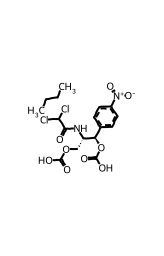 CCCC.O=C(O)OC[C@H](NC(=O)C(Cl)Cl)[C@H](OC(=O)O)c1ccc([N+](=O)[O-])cc1